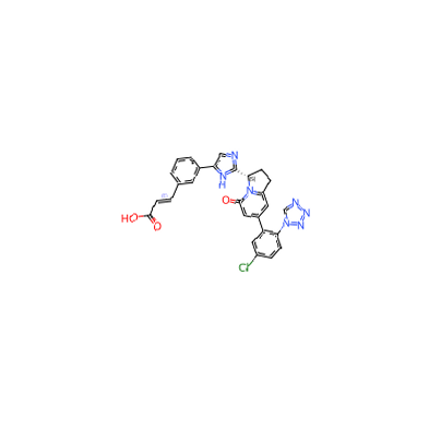 O=C(O)/C=C/c1cccc(-c2cnc([C@@H]3CCc4cc(-c5cc(Cl)ccc5-n5cnnn5)cc(=O)n43)[nH]2)c1